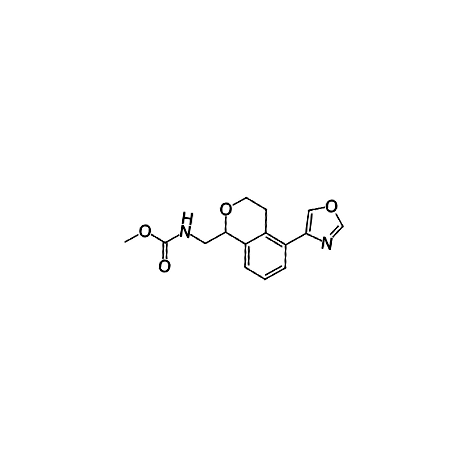 COC(=O)NCC1OCCc2c(-c3cocn3)cccc21